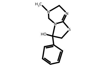 CN1CN=C2SCC(O)(c3ccccc3)N2C1